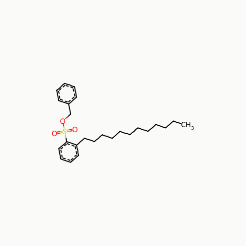 CCCCCCCCCCCCc1ccccc1S(=O)(=O)OCc1ccccc1